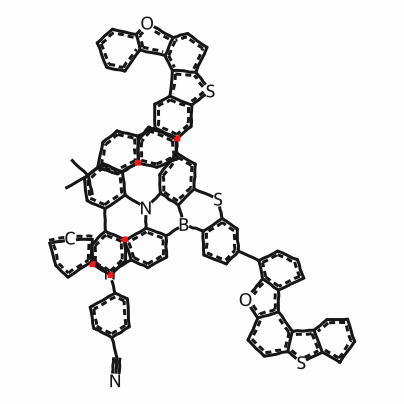 CC(C)(C)c1ccc(-c2cc3c(cc2-c2cc4c5c(c2)N(c2c(-c6ccccc6)cccc2-c2ccccc2)c2cc(N(c6ccccc6)c6ccc(C#N)cc6)ccc2B5c2ccc(-c5cccc6c5oc5ccc7sc8ccccc8c7c56)cc2S4)sc2ccc4oc5ccccc5c4c23)cc1